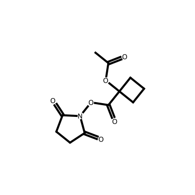 CC(=O)OC1(C(=O)ON2C(=O)CCC2=O)CCC1